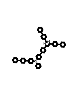 c1ccc(-c2ccc(-c3ccc(N(c4ccccc4)c4ccc(-c5ccc(-c6cc(-c7ccc(-c8ccccc8)cc7)nc(-c7ccc(-c8ccccc8)cc7)n6)cc5)cc4)cc3)cc2)cc1